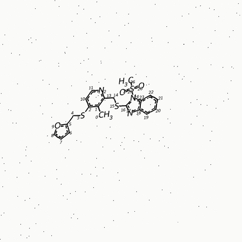 Cc1c(SCc2ccco2)ccnc1CSc1nc2ccccc2n1S(C)(=O)=O